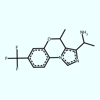 CC(N)c1ncn2c1C(C)Oc1cc(C(F)(F)F)ccc1-2